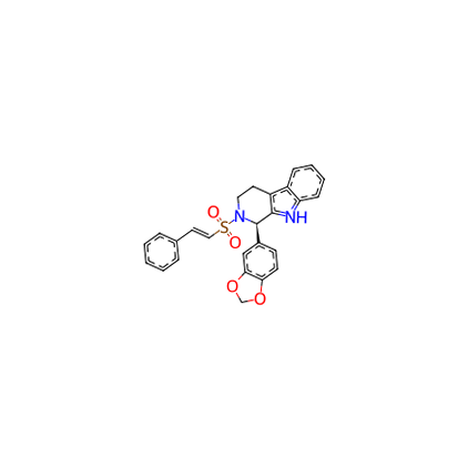 O=S(=O)(/C=C/c1ccccc1)N1CCc2c([nH]c3ccccc23)[C@H]1c1ccc2c(c1)OCO2